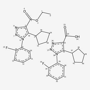 CCOC(=O)c1nnn(-c2ccccc2F)c1C1CCCC1.O=C(O)c1nnn(-c2ccccc2F)c1C1CCCC1